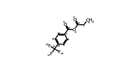 CCC(=O)OC(=O)c1ccc(C(F)(F)F)cc1